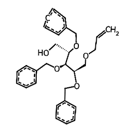 C=CCOC[C@@H](OCc1ccccc1)[C@@H](OCc1ccccc1)[C@H](CO)OCc1ccccc1